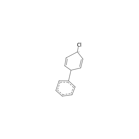 Cl[C]1C=CC(c2ccccc2)C=C1